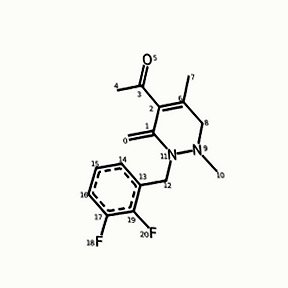 C=C1C(C(C)=O)=C(C)CN(C)N1Cc1cccc(F)c1F